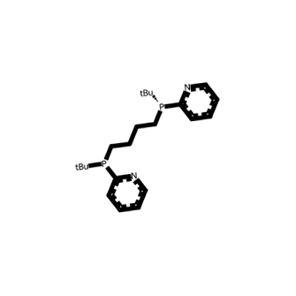 CC(C)(C)P(CCCC[P@@](c1ccccn1)C(C)(C)C)c1ccccn1